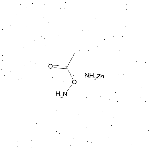 CC(=O)ON.N.[Zn]